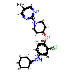 CCc1cnc(N2CCC(Oc3ccc(NC4CCCCC4)cc3Cl)CC2)nc1